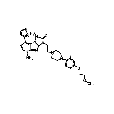 COCCOc1ccc(N2CCN(CCN3C(=O)N(C)N4C5=C(c6ccns6)N=CN(N)C5=NC34)CC2)c(F)c1